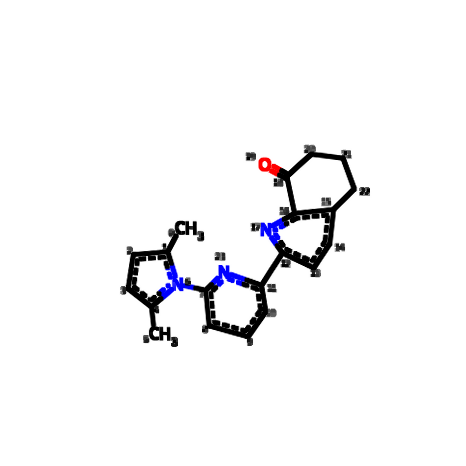 Cc1ccc(C)n1-c1cccc(-c2ccc3c(n2)C(=O)CCC3)n1